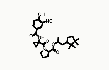 CC(CC1CCC(C)(C)C1(C)C)OC(=O)C1CCCN1C(=O)C1(NC(=O)c2ccc(O)c(N=O)c2)CC1